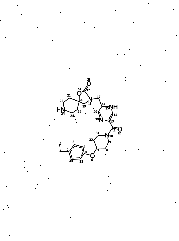 CCc1ccc(OC2CCN(C(=O)C3=CNC(CN4CC5(CCNCC5)OC4=O)C=N3)CC2)cc1